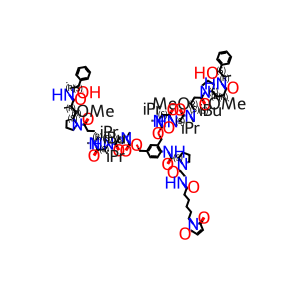 CC[C@H](C)[C@@H]([C@@H](CC(=O)N1CCC[C@H]1[C@H](OC)[C@@H](C)C(=O)N[C@H](C)[C@@H](O)c1ccccc1)OC)N(C)C(=O)[C@@H](NC(=O)[C@H](C(C)C)N(C)C(=O)OCc1cc(COC(=O)N(C)[C@H](C(=O)N[C@H](C(=O)N(C)[C@H](CCC(=O)N2CCC[C@H]2[C@H](OC)[C@@H](C)C(=O)N[C@H](C)[C@@H](O)c2ccccc2)[C@@H](C)CC)C(C)C)C(C)C)ccc1NC(=O)[C@@H]1CCCN1C(=O)CNC(=O)CCCCCN1C(=O)C=CC1=O)C(C)C